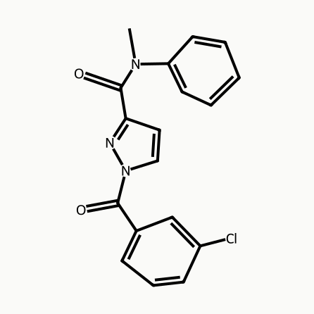 CN(C(=O)c1ccn(C(=O)c2cccc(Cl)c2)n1)c1ccccc1